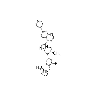 Cc1nn2c(-c3ccnc4cc(-c5ccncc5)ccc34)cnc2cc1-c1ccc(CN2CCC[C@H]2C)c(F)c1